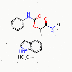 CC(=O)O.CCNC(=O)C(C)OC(=O)Nc1ccccc1.c1ccc2[nH]ccc2c1